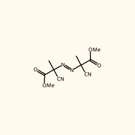 COC(=O)C(C)(C#N)N=NC(C)(C#N)C(=O)OC